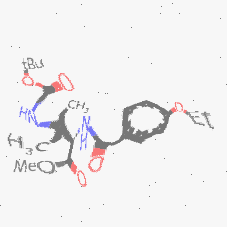 CCOc1ccc(C(=O)N[C@H](C(=O)OC)C(C)(C)NC(=O)OC(C)(C)C)cc1